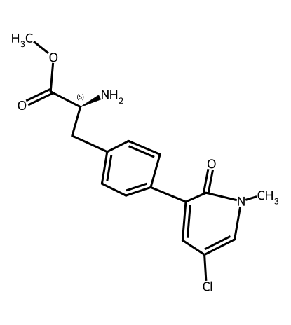 COC(=O)[C@@H](N)Cc1ccc(-c2cc(Cl)cn(C)c2=O)cc1